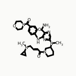 CN(C/C=C/C(=O)N1CCCC(N(C)c2cnc(C(N)=O)c(Nc3ccc(C(=O)N4CCOCC4)cc3)n2)C1)C1CC1